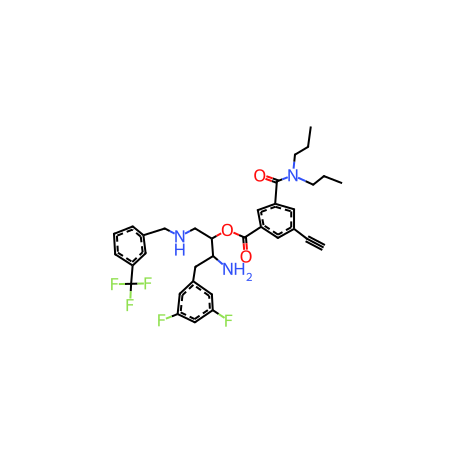 C#Cc1cc(C(=O)OC(CNCc2cccc(C(F)(F)F)c2)C(N)Cc2cc(F)cc(F)c2)cc(C(=O)N(CCC)CCC)c1